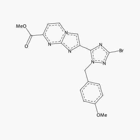 COC(=O)c1ccn2cc(-c3nc(Br)nn3Cc3ccc(OC)cc3)nc2n1